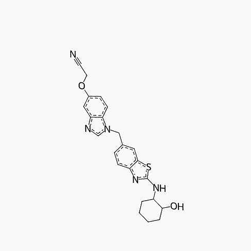 N#CCOc1ccc2c(c1)ncn2Cc1ccc2nc(NC3CCCCC3O)sc2c1